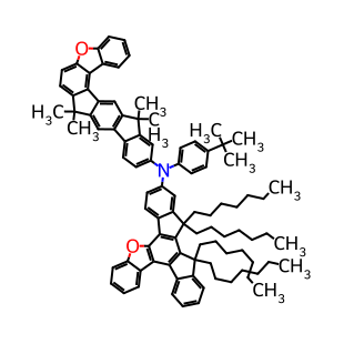 CCCCCCCC1(CCCCCCC)c2cc(N(c3ccc(C(C)(C)C)cc3)c3ccc4c(c3)C(C)(C)c3cc5c(cc3-4)C(C)(C)c3ccc4oc6ccccc6c4c3-5)ccc2-c2c1c1c(c3c2oc2ccccc23)-c2ccccc2C1(CCCCCCC)CCCCCCC